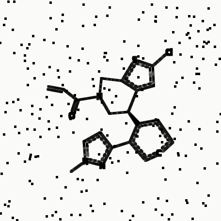 C=CC(=O)N1Cc2sc(Cl)cc2[C@@H](c2ccccc2-c2ccn(C)n2)C1